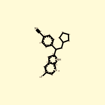 N#Cc1ccc(C(CC2CCCC2)c2cc3cc(F)cnc3[nH]2)cc1